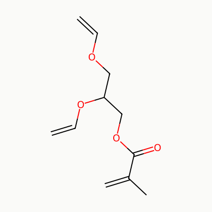 C=COCC(COC(=O)C(=C)C)OC=C